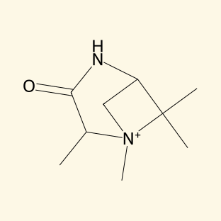 CC1C(=O)NC2C[N+]1(C)C2(C)C